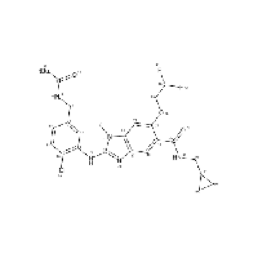 Cn1c(Nc2cc(CNC(=O)C(C)(C)C)ccc2Cl)nc2cc(C(=O)NCC3CC3)c(OCC(F)F)cc21